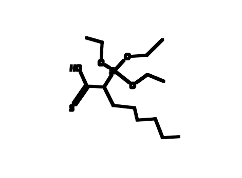 CCCCCCC(C(O)=S)[Si](OCC)(OCC)OCC